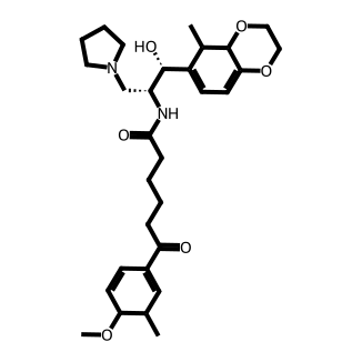 COC1C=CC(C(=O)CCCCC(=O)N[C@H](CN2CCCC2)[C@H](O)C2=CC=C3OCCOC3C2C)=CC1C